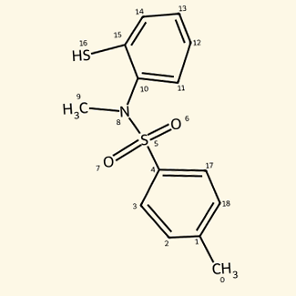 Cc1ccc(S(=O)(=O)N(C)c2ccccc2S)cc1